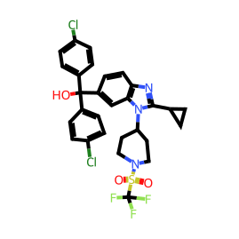 O=S(=O)(N1CCC(n2c(C3CC3)nc3ccc(C(O)(c4ccc(Cl)cc4)c4ccc(Cl)cc4)cc32)CC1)C(F)(F)F